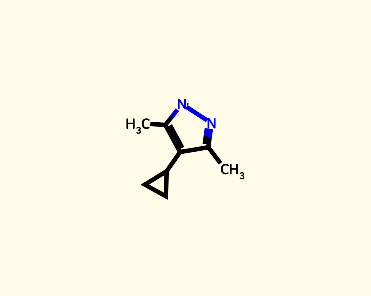 CC1=N[N]C(C)=C1C1CC1